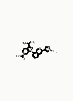 CC(C)c1nn(-c2cccc3cc(-c4cnn(C)c4)ncc23)c2c1CCN(C(=O)O)C2